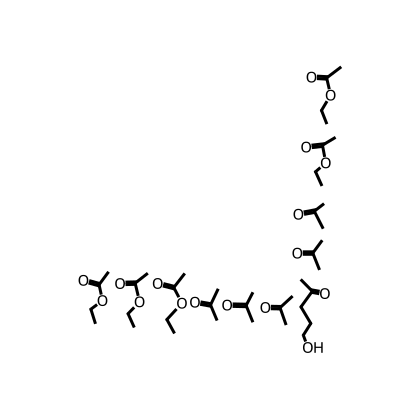 CC(=O)CCCO.CC(C)=O.CC(C)=O.CC(C)=O.CC(C)=O.CC(C)=O.CCOC(C)=O.CCOC(C)=O.CCOC(C)=O.CCOC(C)=O.CCOC(C)=O